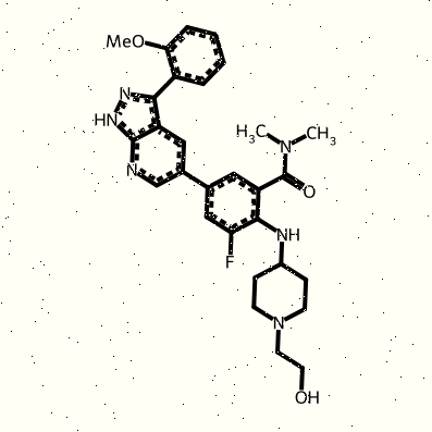 COc1ccccc1-c1n[nH]c2ncc(-c3cc(F)c(NC4CCN(CCO)CC4)c(C(=O)N(C)C)c3)cc12